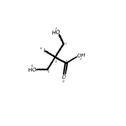 O=C(O)C(I)(CO)CO